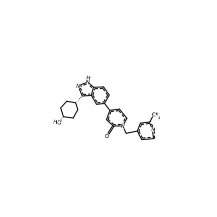 O=c1cc(-c2ccc3[nH]nc([C@H]4CC[C@@H](O)CC4)c3c2)ccn1Cc1ccnc(C(F)(F)F)c1